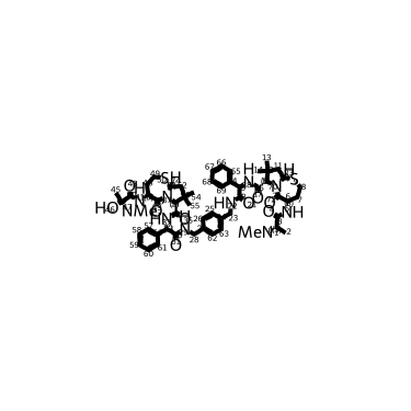 CN[C@@H](C)C(=O)N[C@H]1CCS[C@H]2CC(C)(C)[C@@H](C(=O)NC(C(=O)NCc3ccc(CNC(=O)[C@@H](NC(=O)[C@H]4N5C(=O)[C@@H](NC(=O)C(C)(O)NC)CCS[C@H]5CC4(C)C)c4ccccc4)cc3)c3ccccc3)N2C1=O